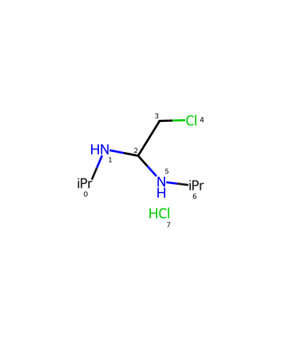 CC(C)NC(CCl)NC(C)C.Cl